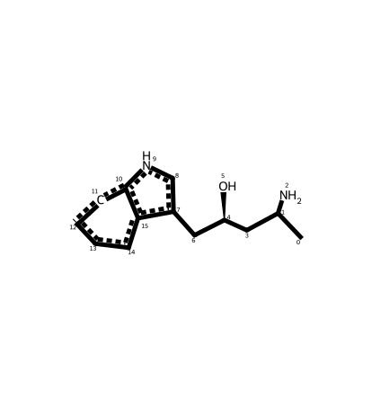 CC(N)C[C@H](O)Cc1c[nH]c2ccccc12